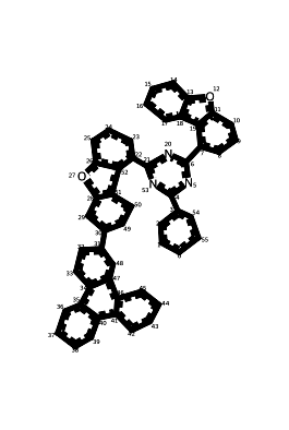 c1ccc(-c2nc(-c3cccc4oc5ccccc5c34)nc(-c3cccc4oc5cc(-c6ccc7c8ccccc8c8ccccc8c7c6)ccc5c34)n2)cc1